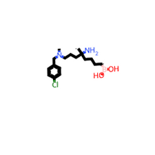 [CH2]C(N)(CCC[CH]B(O)O)CCCN(C)Cc1ccc(Cl)cc1